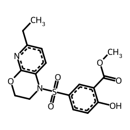 CCc1ccc2c(n1)OCCN2S(=O)(=O)c1ccc(O)c(C(=O)OC)c1